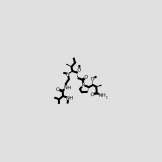 CC[C@H](C)[C@@H]([C@@H](CC(=O)N1CCC[C@H]1[C@H](OC)[C@@H](C)C(N)=O)OC)N(C)CCNC(=O)C(NC)C(C)C